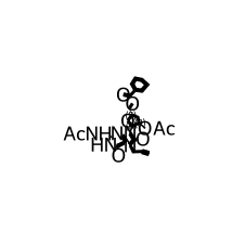 C#CCn1c(=O)n([C@H]2O[C@H](COC(=O)c3ccccc3)C[C@H]2OC(C)=O)c2nc(NC(C)=O)[nH]c(=O)c21